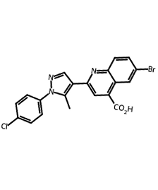 Cc1c(-c2cc(C(=O)O)c3cc(Br)ccc3n2)cnn1-c1ccc(Cl)cc1